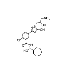 NCC(O)Cn1nc(-c2ccc(Cl)c(C(=O)NC(O)C3CCCCCC3)c2)cc1O